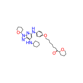 O=C(CCCCCCOc1ccc(Nc2cc(NC3CCCCC3)c3ncn(C4CCCCO4)c3n2)cc1)C1CCCCO1